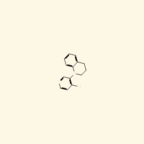 Nc1ccncc1N1CCCc2ccccc21